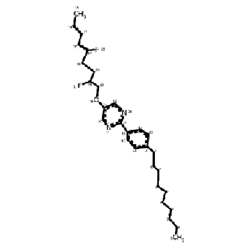 CCCCCCCCCCc1ccc(-c2ncc(OCC(F)CCC(F)CCCC)cn2)cc1